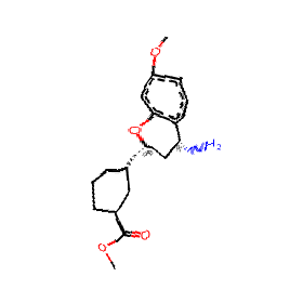 COC(=O)C1CCCC([C@H]2C[C@@H](N)c3ccc(OC)cc3O2)C1